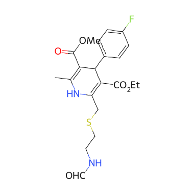 CCOC(=O)C1=C(CSCCNC=O)NC(C)=C(C(=O)OC)C1c1ccc(F)cc1